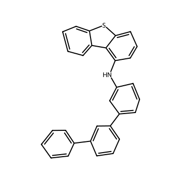 c1ccc(-c2cccc(-c3cccc(Nc4cccc5sc6ccccc6c45)c3)c2)cc1